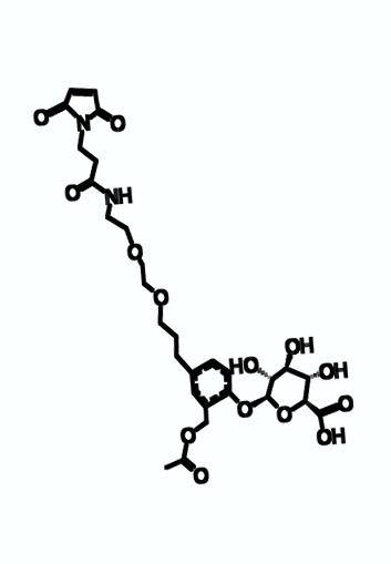 CC(=O)OCc1cc(CCCOCCOCCNC(=O)CCN2C(=O)C=CC2=O)ccc1O[C@@H]1O[C@H](C(=O)O)[C@@H](O)[C@H](O)[C@H]1O